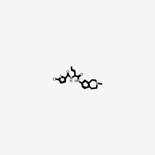 CC=CC(NC(=O)c1ccc(Cl)s1)C(=O)Nc1ccc2c(c1)CCN(C)CC2